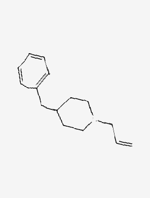 C=CCN1CCC(Cc2ccccc2)CC1